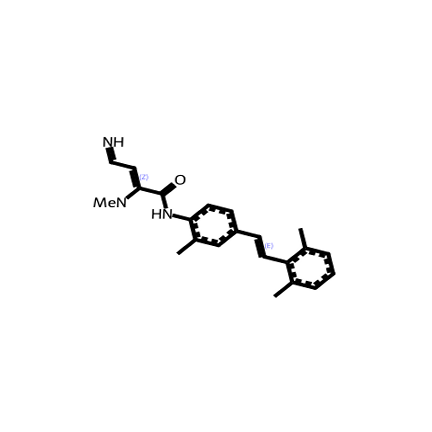 CN/C(=C\C=N)C(=O)Nc1ccc(/C=C/c2c(C)cccc2C)cc1C